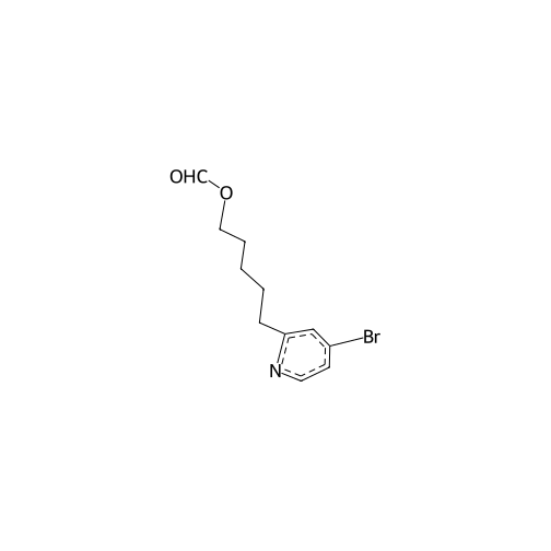 O=COCCCCCc1cc(Br)ccn1